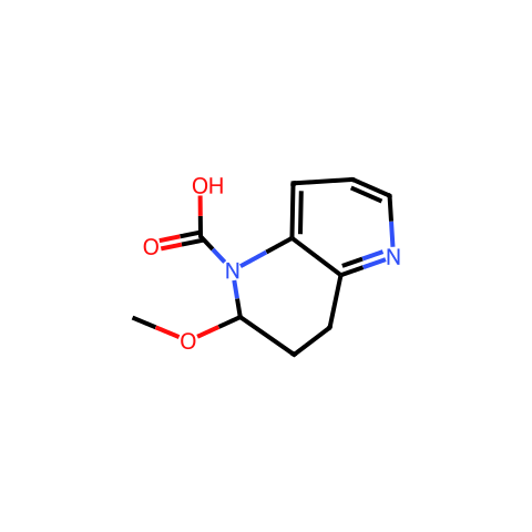 COC1CCc2ncccc2N1C(=O)O